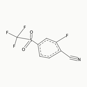 N#Cc1ccc(S(=O)(=O)C(F)(F)F)cc1F